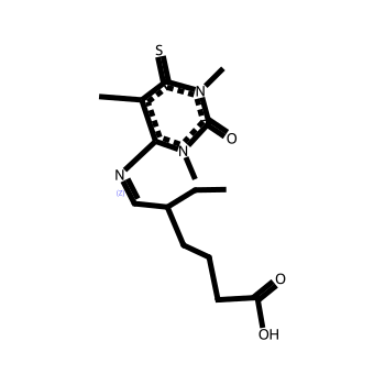 CCC(/C=N\c1c(C)c(=S)n(C)c(=O)n1C)CCCC(=O)O